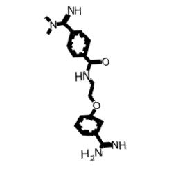 CN(C)C(=N)c1ccc(C(=O)NCCOc2cccc(C(=N)N)c2)cc1